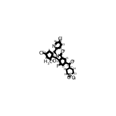 CO[C@@]1(c2ccc(Cl)cc2)c2c(F)cc(C(=O)C3CCS(=O)(=O)CC3)cc2C(=O)N1Cc1ccc(Cl)cn1